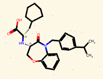 CC(C)c1ccc(CN2C(=O)[C@@H](N[C@@H](CC3CCCCC3)C(=O)O)COc3ccccc32)cc1